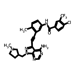 Cc1ccc(NC(=O)c2ccc(Cl)c(C(F)(F)F)c2)cc1C#Cc1nn(CC2CCN(C)C2)c2ncnc(N)c12